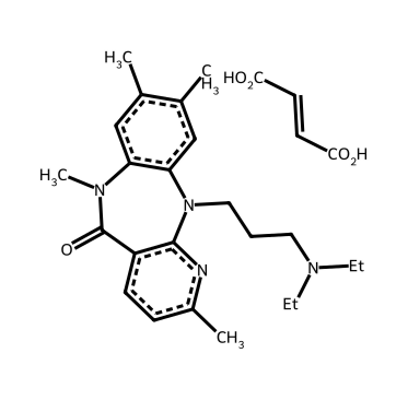 CCN(CC)CCCN1c2cc(C)c(C)cc2N(C)C(=O)c2ccc(C)nc21.O=C(O)C=CC(=O)O